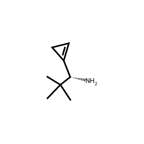 CC(C)(C)[C@@H](N)C1=CC1